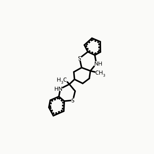 CC1(C2CCC3(C)Nc4ccccc4SC3C2)CSc2ccccc2N1